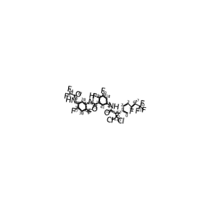 C=C(/C=C\C(F)=C(/C)C(F)(F)F)[C@H]1[C@H](C(=O)Nc2cc(F)c(F)c(C(=O)Nc3cc(NC(=O)C(F)F)c(F)cc3F)c2)C1(Cl)Cl